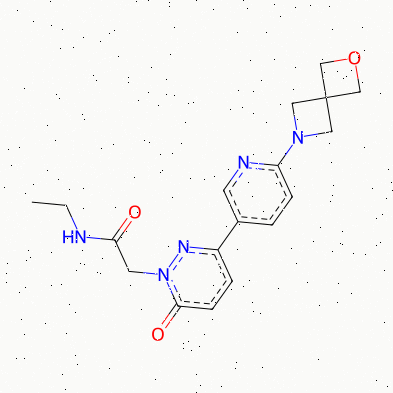 CCNC(=O)Cn1nc(-c2ccc(N3CC4(COC4)C3)nc2)ccc1=O